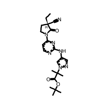 CC[C@]1(C#N)CCN(c2ccnc(Nc3cnn(C(C)(C)C(=O)OC(C)(C)C)c3)n2)C1=O